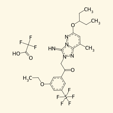 CCOc1cc(C(=O)Cn2nc3c(C)cc(OC(CC)CC)nn3c2=N)cc(S(F)(F)(F)(F)F)c1.O=C(O)C(F)(F)F